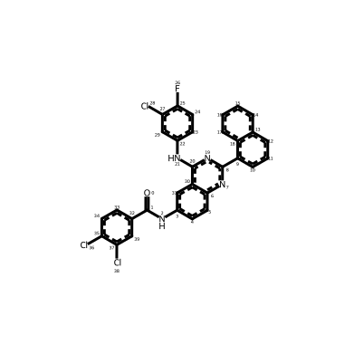 O=C(Nc1ccc2nc(-c3cccc4ccccc34)nc(Nc3ccc(F)c(Cl)c3)c2c1)c1ccc(Cl)c(Cl)c1